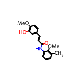 COc1ccc(C=CC(=O)Nc2cccc(C)c2OC)cc1O